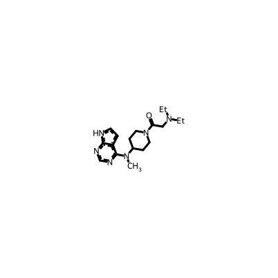 CCN(CC)CC(=O)N1CCC(N(C)c2ncnc3[nH]ccc23)CC1